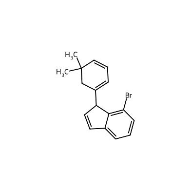 CC1(C)C=CC=C(C2C=Cc3cccc(Br)c32)C1